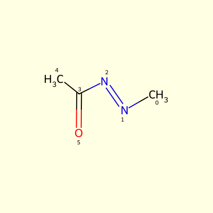 CN=NC(C)=O